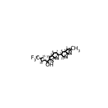 Cn1cc2cc(-c3ccc4cc([C@H](O)[C@H]5C[C@@H](C(F)(F)F)C5)sc4n3)cnc2n1